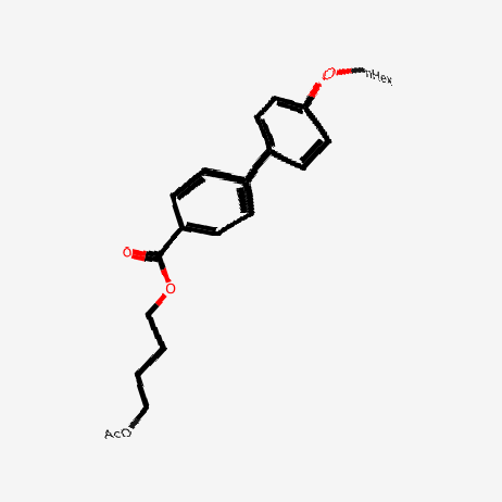 CCCCCCOc1ccc(-c2ccc(C(=O)OCCCCOC(C)=O)cc2)cc1